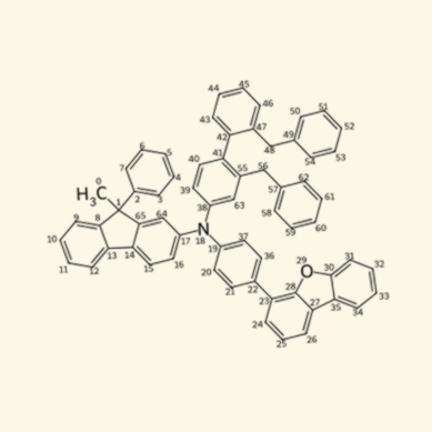 CC1(c2ccccc2)c2ccccc2-c2ccc(N(c3ccc(-c4cccc5c4oc4ccccc45)cc3)c3ccc(-c4ccccc4Cc4ccccc4)c(Cc4ccccc4)c3)cc21